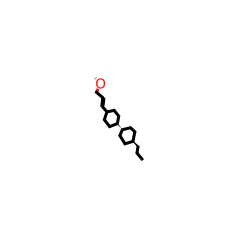 CCC[C@H]1CC[C@H](C2CCC(/C=C/COC)CC2)CC1